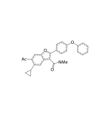 CNC(=O)c1c(-c2ccc(Oc3ccccc3)cc2)oc2cc(C(C)=O)c(C3CC3)cc12